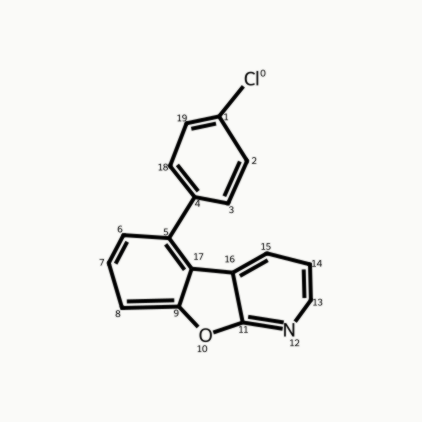 Clc1ccc(-c2cccc3oc4ncccc4c23)cc1